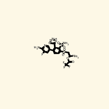 Nc1ncc(-c2ccc(S(=O)(=O)CC(N)OC(=O)C(F)(F)F)c(S(N)(=O)=O)c2-c2nnn[nH]2)cc1F